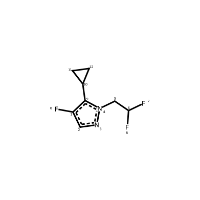 Fc1[c]nn(CC(F)F)c1C1CC1